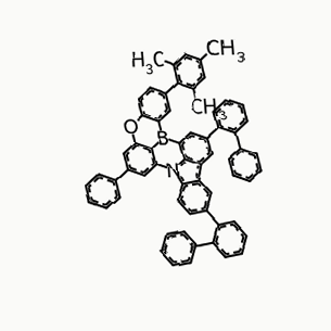 Cc1cc(C)c(-c2ccc3c(c2)B2c4c(cc(-c5ccccc5)cc4-n4c5ccc(-c6ccccc6-c6ccccc6)cc5c5cc(-c6ccccc6-c6ccccc6)cc2c54)O3)c(C)c1